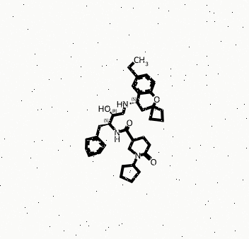 CCc1ccc2c(c1)[C@@H](NC[C@@H](O)[C@H](Cc1ccccc1)NC(=O)C1CCC(=O)N(C3CCCC3)C1)CC1(CCC1)O2